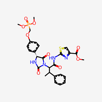 COC(=O)c1csc(NC(=O)C(C(C)c2ccccc2)N2C(=O)N[C@H](c3ccc(OCP(=O)(OC)OC)cc3)C2=O)n1